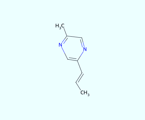 CC=Cc1cnc(C)cn1